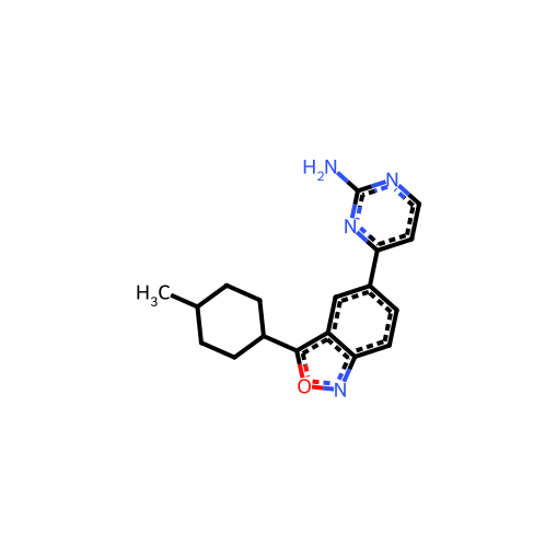 CC1CCC(c2onc3ccc(-c4ccnc(N)n4)cc23)CC1